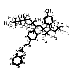 CC1=C=C=C(C(CC(C)(C)C)C(C)(N)C(C)(C)CC(C2=CC=C(CSc3nc4ccccc4s3)CC2)C(C)(C)CC(C)(C)C(C)(C)C(C)(C)C)C=C1